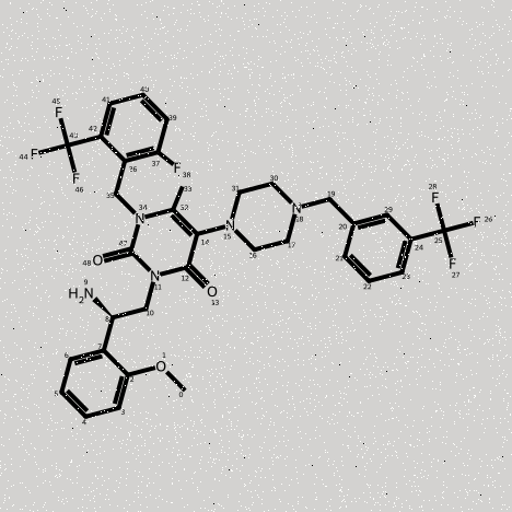 COc1ccccc1[C@@H](N)Cn1c(=O)c(N2CCN(Cc3cccc(C(F)(F)F)c3)CC2)c(C)n(Cc2c(F)cccc2C(F)(F)F)c1=O